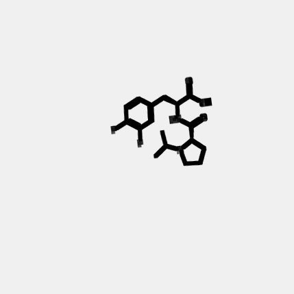 CC(C)N1CCC[C@@H]1C(=O)N[C@@H](Cc1ccc(F)c(F)c1)C(=O)O